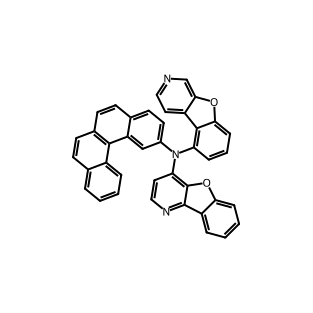 c1ccc2c(c1)ccc1ccc3ccc(N(c4ccnc5c4oc4ccccc45)c4cccc5oc6cnccc6c45)cc3c12